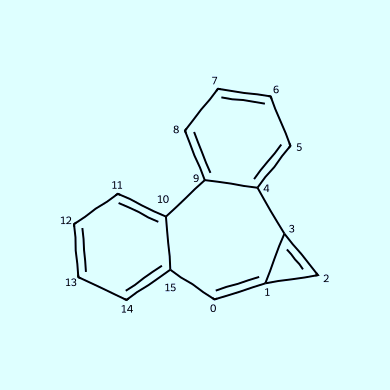 C1=C2C=C2c2ccccc2-c2ccccc21